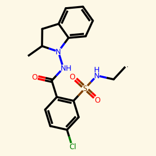 [CH2]CNS(=O)(=O)c1cc(Cl)ccc1C(=O)NN1c2ccccc2CC1C